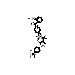 Nc1ccccc1C(=O)N1CCC(O)(Cn2cnc3c(cnn3-c3ccc(C(F)(F)F)cc3)c2=O)CC1